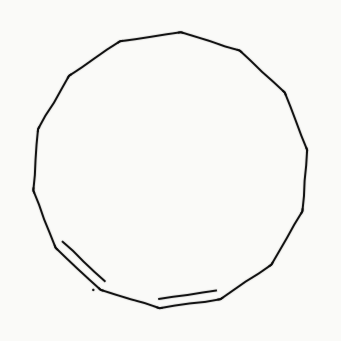 [C]1=CCCCCCCCCCCC=C1